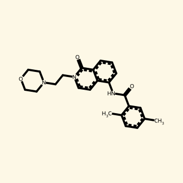 Cc1ccc(C)c(C(=O)Nc2cccc3c(=O)n(CCN4CCOCC4)ccc23)c1